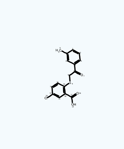 Cc1cccc(C(=O)CSc2ccc(Cl)cc2C(=O)O)c1